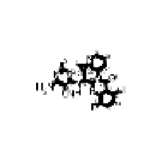 Cc1nc(N)c(C#N)c(NC(c2nc3c(F)ccc(Cl)c3c(=O)n2-c2cccnc2)C2CC2)n1